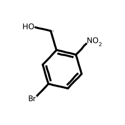 O=[N+]([O-])c1ccc(Br)cc1[CH]O